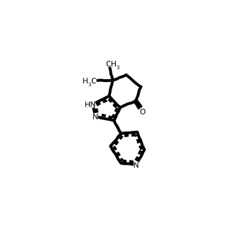 CC1(C)CCC(=O)c2c(-c3ccncc3)n[nH]c21